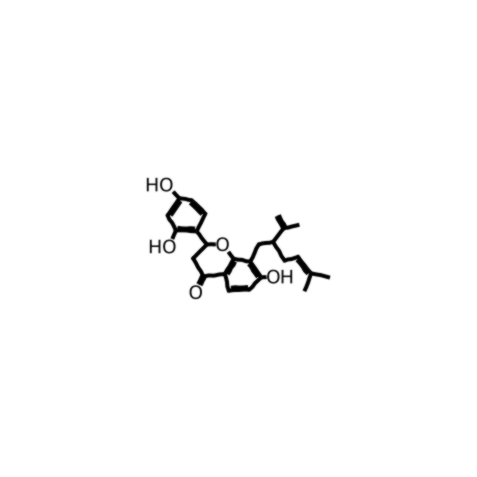 C=C(C)C(CC=C(C)C)Cc1c(O)ccc2c1OC(c1ccc(O)cc1O)CC2=O